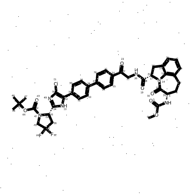 COC(=O)N[C@H]1CCc2cccc3c2N(C1=O)[C@H](C(=O)NCC(=O)c1ccc(-c2ccc(-c4[nH]c([C@@H]5CC(F)(F)CN5C(=O)OC(C)(C)C)nc4Cl)cc2)cc1)C3